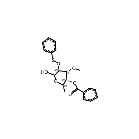 CO[C@@H]1[C@H](OC(=O)c2ccccc2)[C@@H](C)OC(O)[C@H]1OSc1ccccc1